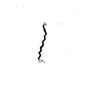 CCCCCC=CCCCCC#CCBr